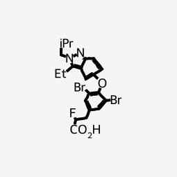 CCc1c2cc(Oc3c(Br)cc(CC(F)C(=O)O)cc3Br)ccc2nn1CC(C)C